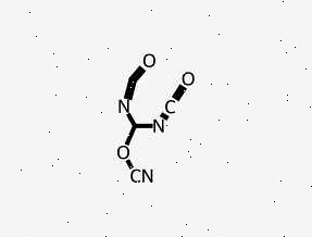 N#COC(N=C=O)N=C=O